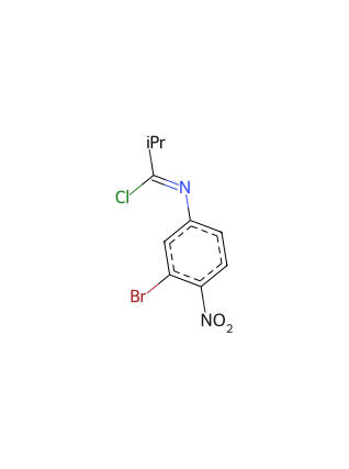 CC(C)/C(Cl)=N/c1ccc([N+](=O)[O-])c(Br)c1